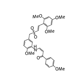 COc1ccc(C(=O)/C=C\Nc2cc(CS(=O)(=O)/C=C/c3c(OC)cc(OC)cc3OC)ccc2OC)cc1